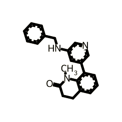 CN1C(=O)CCc2cccc(-c3cncc(NCc4ccccc4)c3)c21